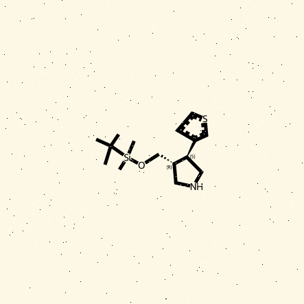 CC(C)(C)[Si](C)(C)OC[C@H]1CNC[C@@H]1c1ccsc1